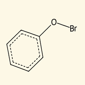 BrOc1ccccc1